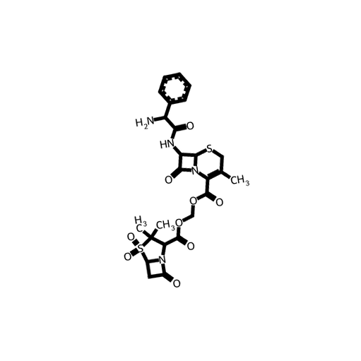 CC1=C(C(=O)OCOC(=O)C2N3C(=O)CC3S(=O)(=O)C2(C)C)N2C(=O)C(NC(=O)C(N)c3ccccc3)C2SC1